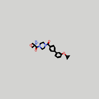 NC1(C(=O)N2CCN(C(=O)c3ccc(-c4cccc(OC5CC5)c4)cc3)CC2)COC1